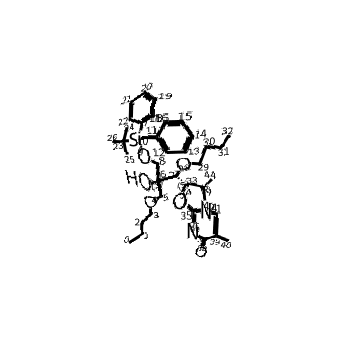 CCCCOC[C@](O)(CO[Si](c1ccccc1)(c1ccccc1)C(C)(C)C)C(OCCCC)[C@H]1Oc2nc(=O)c(C)cn2[C@@H]1C